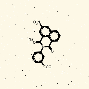 O=C([O-])c1cccc(N2C(=O)c3cccc4cc([N+](=O)[O-])cc(c34)C2=O)c1.[Na+]